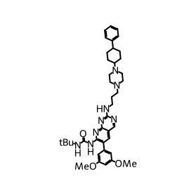 COc1cc(OC)cc(-c2cc3cnc(NCCCN4CCN(C5CCC(c6ccccc6)CC5)CC4)nc3nc2NC(=O)NC(C)(C)C)c1